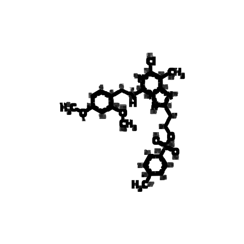 COc1ccc(CNc2nc(Cl)c(C)c3nc(CCOS(=O)(=O)c4ccc(C)cc4)nn23)c(OC)c1